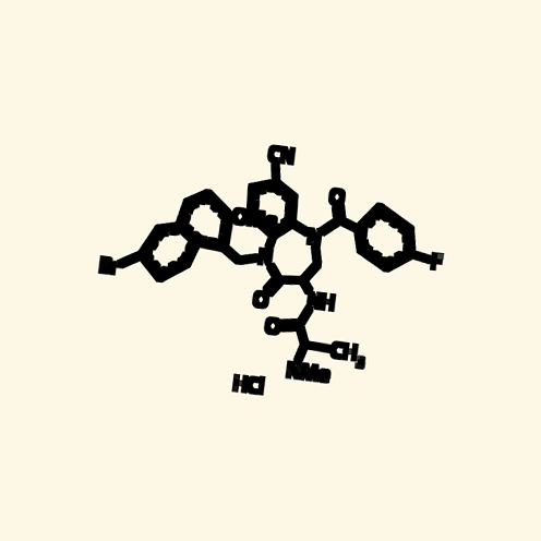 CNC(C)C(=O)NC1CN(C(=O)c2ccc(F)cc2)c2cc(C#N)ccc2N(Cc2c(OC)ccc3cc(Br)ccc23)C1=O.Cl